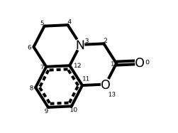 O=C1CN2CCCc3cccc(c32)O1